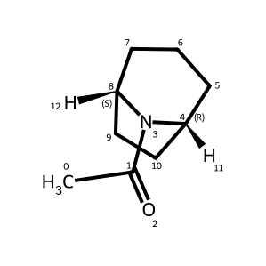 CC(=O)N1[C@@H]2CCC[C@H]1CC2